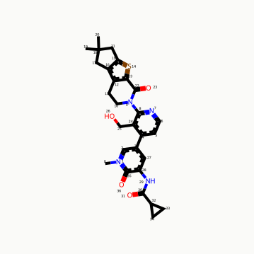 Cn1cc(-c2ccnc(N3CCc4c(sc5c4CC(C)(C)C5)C3=O)c2CO)cc(NC(=O)C2CC2)c1=O